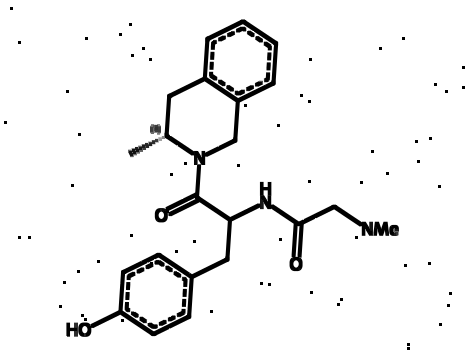 CNCC(=O)NC(Cc1ccc(O)cc1)C(=O)N1Cc2ccccc2C[C@H]1C